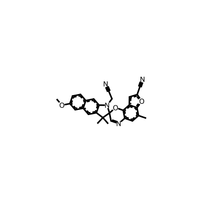 COc1ccc2cc3c(cc2c1)C(C)(C)C1(C=Nc2cc(C)c4oc(C#N)cc4c2O1)N3CC#N